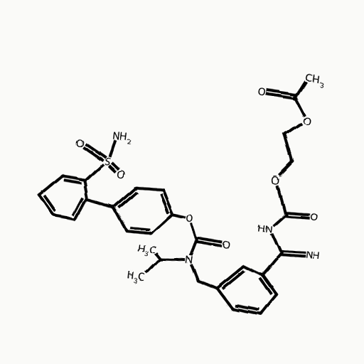 CC(=O)OCCOC(=O)NC(=N)c1cccc(CN(C(=O)Oc2ccc(-c3ccccc3S(N)(=O)=O)cc2)C(C)C)c1